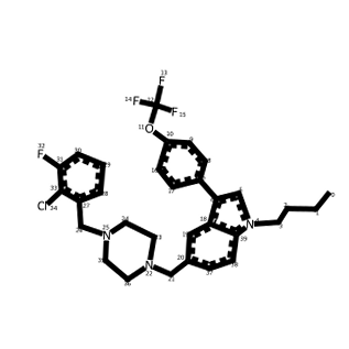 CCCCn1cc(-c2ccc(OC(F)(F)F)cc2)c2cc(CN3CCN(Cc4cccc(F)c4Cl)CC3)ccc21